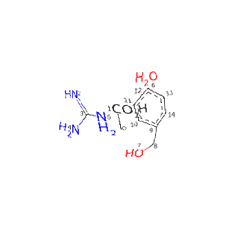 CC(=O)O.N=C(N)N.O.OCc1ccccc1